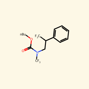 CCCCOC(=O)N(CC(c1ccccc1)C(F)(F)F)C(F)(F)F